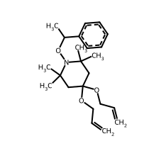 C=CCOC1(OCC=C)CC(C)(C)N(OC(C)c2ccccc2)C(C)(C)C1